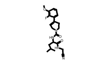 COc1cccc(C2=CCN(C(=O)NC(CC(C)C)C(=O)NCC#N)CC2)c1F